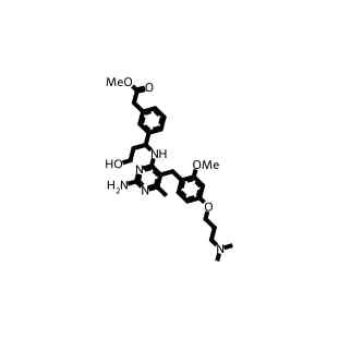 COC(=O)Cc1cccc(C(CCO)Nc2nc(N)nc(C)c2Cc2ccc(OCCCN(C)C)cc2OC)c1